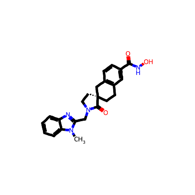 Cn1c(CN2CC[C@]3(CCc4cc(C(=O)NO)ccc4C3)C2=O)nc2ccccc21